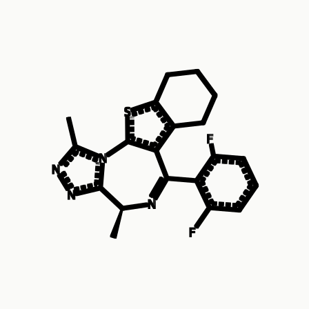 Cc1nnc2n1-c1sc3c(c1C(c1c(F)cccc1F)=N[C@H]2C)CCCC3